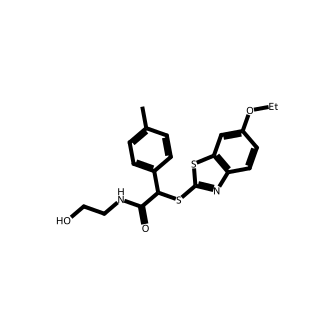 CCOc1ccc2nc(SC(C(=O)NCCO)c3ccc(C)cc3)sc2c1